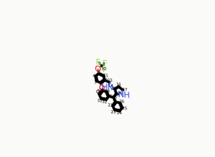 COc1ccc(OC(F)(F)F)cc1CNC1CCNC1C(c1ccccc1)c1ccccc1